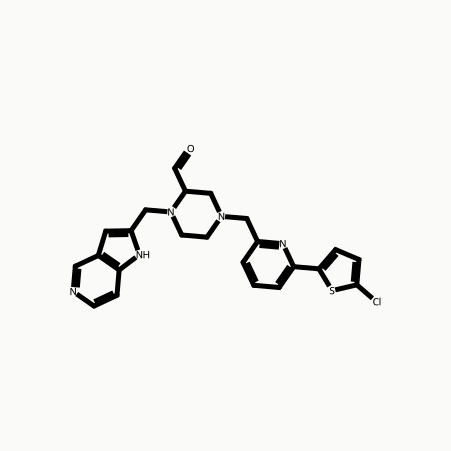 O=CC1CN(Cc2cccc(-c3ccc(Cl)s3)n2)CCN1Cc1cc2cnccc2[nH]1